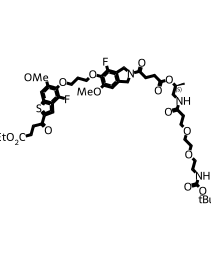 CCOC(=O)CCC(=O)c1cc2c(F)c(OCCCOc3c(OC)cc4c(c3F)CN(C(=O)CCC(=O)O[C@@H](C)CNC(=O)CCOCCOCCNC(=O)OC(C)(C)C)C4)c(OC)cc2s1